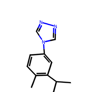 Cc1ccc(-n2cnnc2)cc1C(C)C